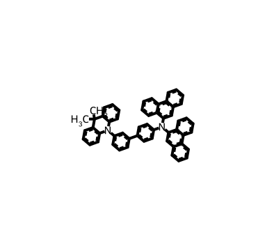 CC1(C)c2ccccc2N(c2cccc(-c3ccc(N(c4cc5ccccc5c5ccccc45)c4cc5ccccc5c5ccccc45)cc3)c2)c2ccccc21